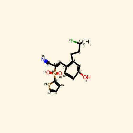 CC(F)CCc1cc(O)ccc1C=C(C#N)S(=O)(=O)c1cccs1